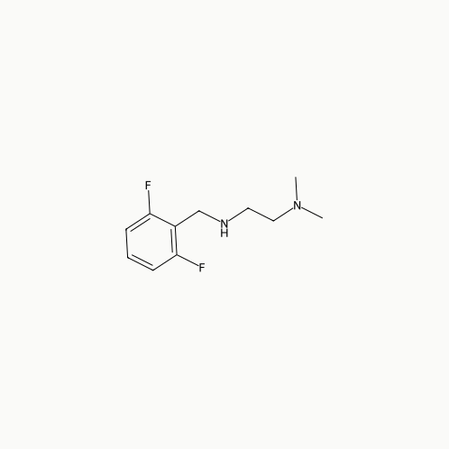 CN(C)CCNCc1c(F)cccc1F